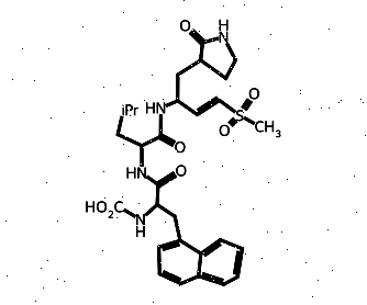 CC(C)CC(NC(=O)C(Cc1cccc2ccccc12)NC(=O)O)C(=O)NC(/C=C/S(C)(=O)=O)CC1CCNC1=O